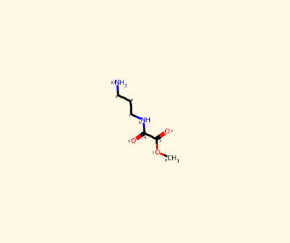 COC(=O)C(=O)NCCCN